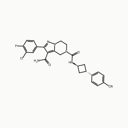 N#Cc1ccc([C@H]2C[C@H](NC(=O)N3CCn4nc(-c5ccc(F)c(Cl)c5)c(C(N)=O)c4C3)C2)cc1